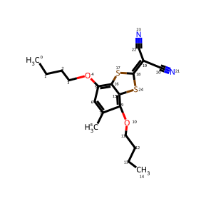 CCCCOc1cc(C)c(OCCCC)c2c1SC(=C(C#N)C#N)S2